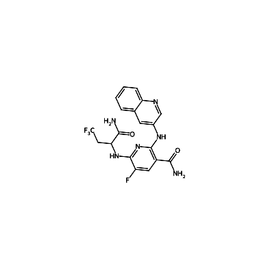 NC(=O)c1cc(F)c(NC(CC(F)(F)F)C(N)=O)nc1Nc1cnc2ccccc2c1